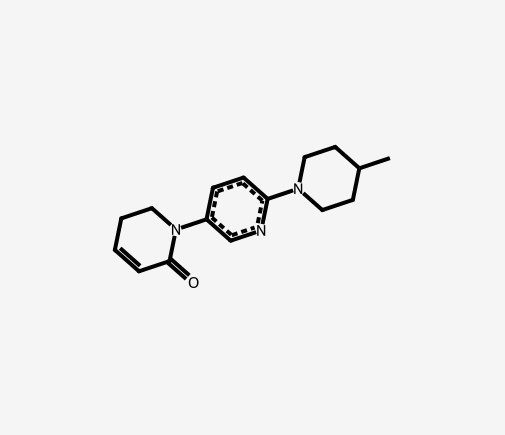 CC1CCN(c2ccc(N3CCC=CC3=O)cn2)CC1